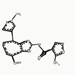 COc1ccc(-c2cnn(C)c2)c2nc(NC(=O)c3cnoc3C)[nH]c12